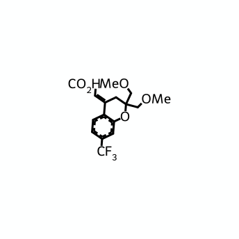 COCC1(COC)CC(=CC(=O)O)c2ccc(C(F)(F)F)cc2O1